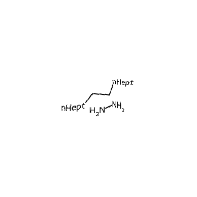 CCCCCCCCCCCCCCCC.NN